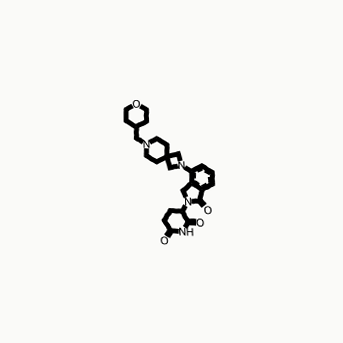 O=C1CCC(N2Cc3c(cccc3N3CC4(CCN(CC5CCOCC5)CC4)C3)C2=O)C(=O)N1